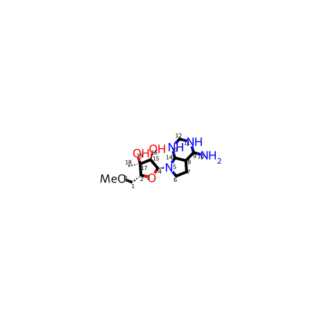 COC[C@H]1O[C@@H](N2CCC3C(N)NCNC32)[C@H](O)[C@]1(C)O